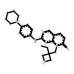 CCC1(Cn2c(=O)ccc3cnc(Nc4ccc(N5CCCCC5)cc4)nc32)COC1